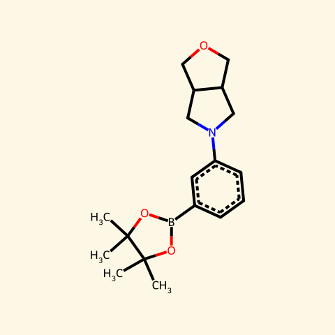 CC1(C)OB(c2cccc(N3CC4COCC4C3)c2)OC1(C)C